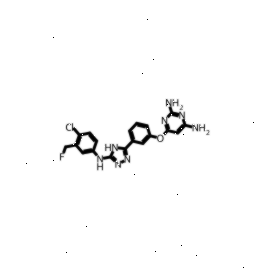 Nc1cc(Oc2cccc(-c3nnc(Nc4ccc(Cl)c(CF)c4)[nH]3)c2)nc(N)n1